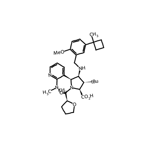 COc1ccc(C2(C)CCC2)cc1CN[C@H]1[C@H](C(C)(C)C)[C@@H](C(=O)O)N(C(=O)[C@@H]2CCCO2)[C@H]1c1cccnc1N(C)C